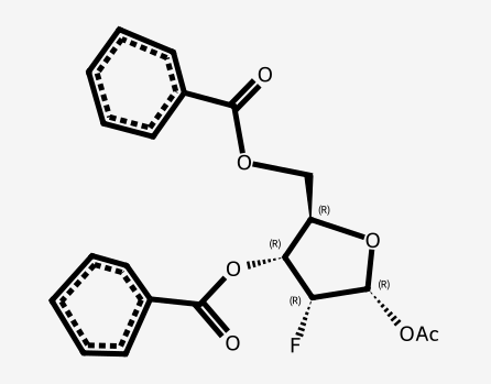 CC(=O)O[C@H]1O[C@H](COC(=O)c2ccccc2)[C@@H](OC(=O)c2ccccc2)[C@H]1F